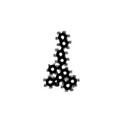 c1ccc(N(c2ccc(-c3cccc4cccc(-c5cccc6c5oc5ccccc56)c34)cc2)c2ccc3cc(-c4ccc5ccccc5c4)ccc3c2)cc1